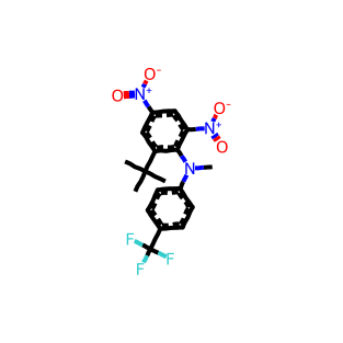 CN(c1ccc(C(F)(F)F)cc1)c1c([N+](=O)[O-])cc([N+](=O)[O-])cc1C(C)(C)C